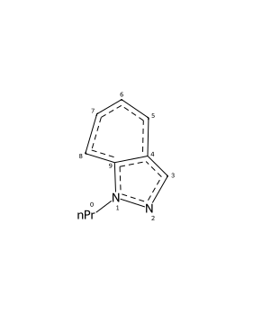 CCCn1ncc2ccccc21